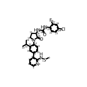 CSNc1ncccc1-c1ccc(N2CCC(NC(=O)Nc3ccc(Cl)cc3F)C2=O)c(C(C)C)c1